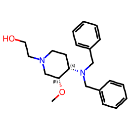 CO[C@@H]1CN(CCO)CC[C@@H]1N(Cc1ccccc1)Cc1ccccc1